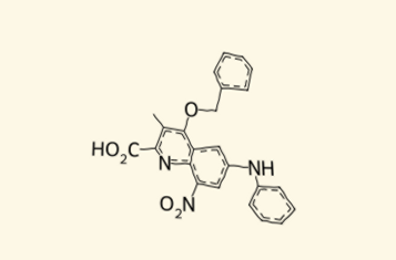 Cc1c(C(=O)O)nc2c([N+](=O)[O-])cc(Nc3ccccc3)cc2c1OCc1ccccc1